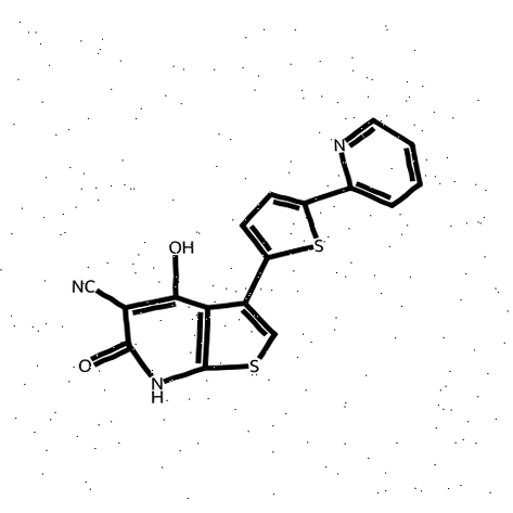 N#Cc1c(O)c2c(-c3ccc(-c4ccccn4)s3)csc2[nH]c1=O